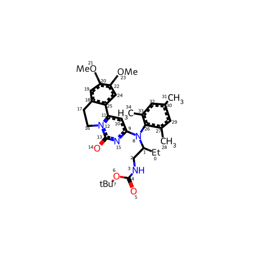 CCC(CNC(=O)OC(C)(C)C)N(c1cc2n(c(=O)n1)CCc1cc(OC)c(OC)cc1-2)c1c(C)cc(C)cc1C